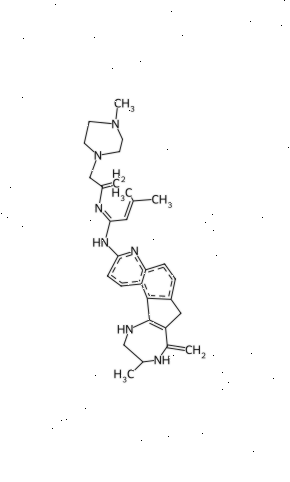 C=C(CN1CCN(C)CC1)/N=C(\C=C(C)C)Nc1ccc2c3c(ccc2n1)CC1=C3NCC(C)NC1=C